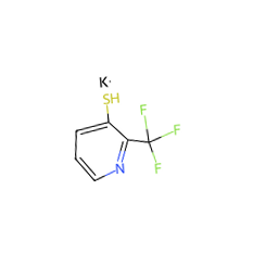 FC(F)(F)c1ncccc1S.[K]